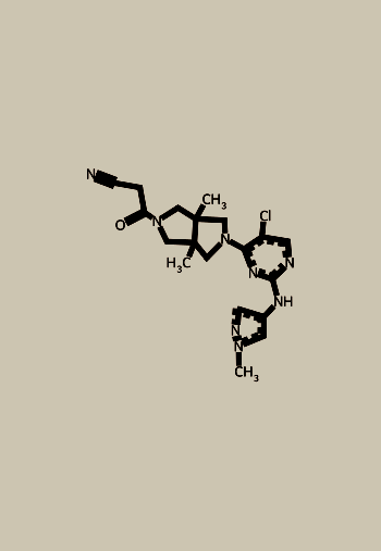 Cn1cc(Nc2ncc(Cl)c(N3CC4(C)CN(C(=O)CC#N)CC4(C)C3)n2)cn1